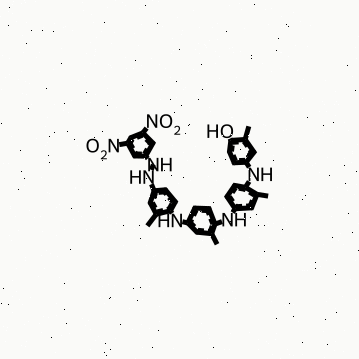 Cc1cc(Nc2ccc(Nc3ccc(Nc4ccc(NNc5cc([N+](=O)[O-])cc([N+](=O)[O-])c5)cc4C)cc3C)cc2C)ccc1O